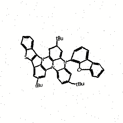 CC(C)(C)c1ccc2c(c1)n(-c1cccc3c1oc1ccccc13)c1c3c(n4c5c6ccccc6sc5c5cc(C(C)(C)C)cc(c54)n2-3)CC(C(C)(C)C)C=1